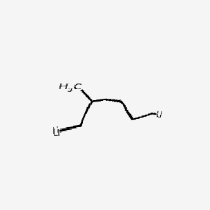 [Li][CH2]CC(C)[CH2][Li]